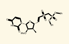 CO[C@@H]1[C@H](C)[C@@H](/C=C/S(=O)(=O)CP(=O)(OC(C)C)OC(C)C)O[C@H]1n1ccc(=O)[nH]c1=O